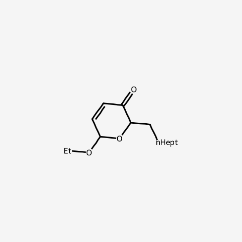 CCCCCCCCC1OC(OCC)C=CC1=O